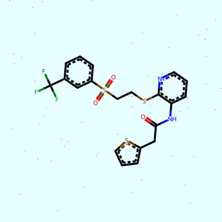 O=C(Cc1cccs1)Nc1cccnc1SCCS(=O)(=O)c1cccc(C(F)(F)F)c1